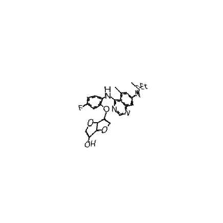 CC/S(C)=N/c1cc(C)c2c(Nc3ccc(F)cc3OC3COC4C(O)COC34)ncnc2c1